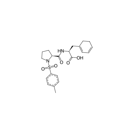 Cc1ccc(S(=O)(=O)N2CCC[C@H]2C(=O)N[C@@H](CC2=CC=CCC2)C(=O)O)cc1